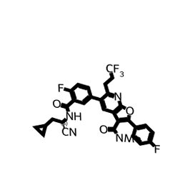 CNC(=O)c1c(-c2ccc(F)cc2)oc2nc(CCC(F)(F)F)c(-c3ccc(F)c(C(=O)N[C@H](C#N)CC4CC4)c3)cc12